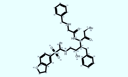 CC[C@H](C)CC(=O)N(NC(=O)CNCc1ccccc1)[C@@H](Cc1ccccc1)[C@H](O)CNC(C(C)C)S(=O)(=O)c1ccc2c(c1)CCO2